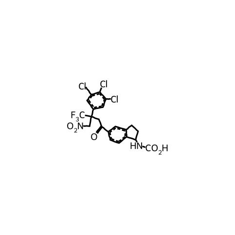 O=C(O)NC1CCc2cc(C(=O)CC(C[N+](=O)[O-])(c3cc(Cl)c(Cl)c(Cl)c3)C(F)(F)F)ccc21